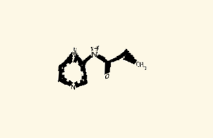 C=CC(=O)Nc1cnccn1